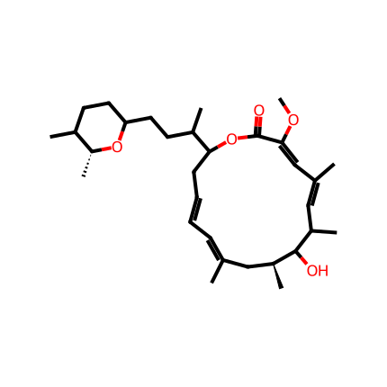 CO/C1=C\C(C)=C\C(C)C(O)[C@@H](C)C/C(C)=C/C=C/CC(C(C)CCC2CCC(C)[C@@H](C)O2)OC1=O